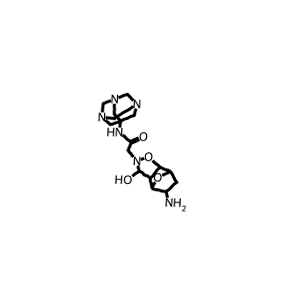 NC1CC2OC1C1C2ON(CC(=O)NC23CN4CN(CN(C4)C2)C3)C1O